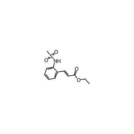 CCOC(=O)C=Cc1ccccc1NS(C)(=O)=O